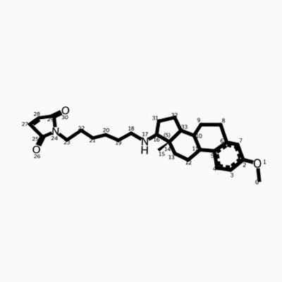 COc1ccc2c(c1)CCC1C2CC[C@]2(C)C(NCCCCCCN3C(=O)C=CC3=O)CCC12